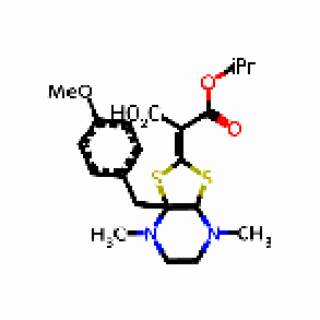 COc1ccc(CC23SC(=C(C(=O)O)C(=O)OC(C)C)SC2N(C)CCN3C)cc1